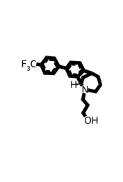 OCCCN1CCCC2C[C@@H]1c1cc(-c3ccc(C(F)(F)F)cc3)ccc12